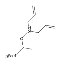 C=CC[SiH](CC=C)OC(C)CCCCC